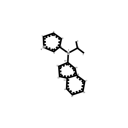 CC(C)N(c1cccnc1)c1ccc2ccccc2c1